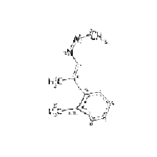 C/N=N\C=C(/C)c1ccccc1C